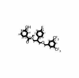 CN(CC(COCc1cc(C(F)(F)F)cc(C(F)(F)F)c1)c1ccc(F)cc1)C(=O)c1ccnc(O)c1